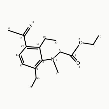 CCOC(=O)CN(C)c1c(CC)ccc(C(C)=S)c1CC